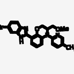 COCC1COc2c(-c3nc4ccc(Br)cc4[nH]3)cccc2N1c1ccc(C)cn1